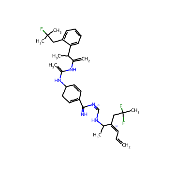 C=C/C=C(/CC(C)(F)F)C(C)N/C=N\C(=N)C1=CCC(NC(=C)NC(=C)C(C)c2ccccc2CC(C)(C)F)C=C1